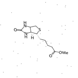 COC(=O)CCCC[C@H]1SCC2NC(=O)N[C@@H]21